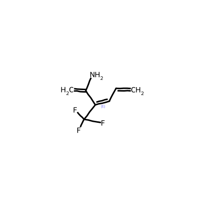 C=C/C=C(\C(=C)N)C(F)(F)F